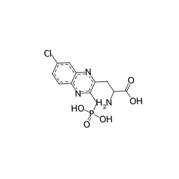 NC(Cc1nc2cc(Cl)ccc2nc1CP(=O)(O)O)C(=O)O